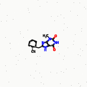 Cn1c(=O)[nH]c(=O)c2[nH]c(Cc3ccccc3C#N)nc21